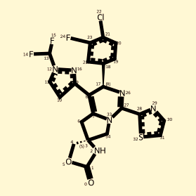 O=C1N[C@@]2(CO1)CC1=C(c3ccn(C(F)F)n3)[C@@H](c3ccc(Cl)c(F)c3)N=C(c3nccs3)N1C2